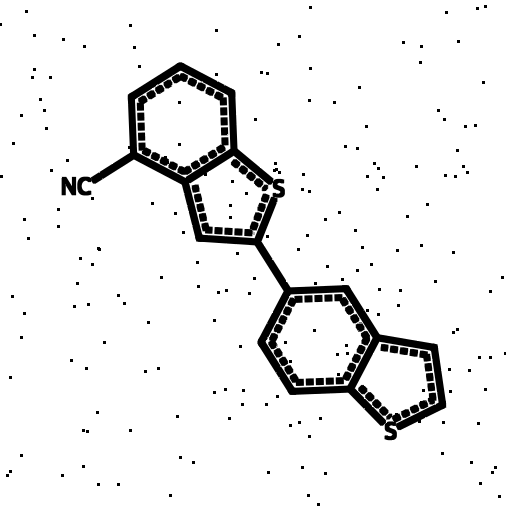 N#Cc1cccc2sc(-c3ccc4sccc4c3)cc12